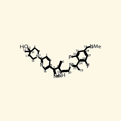 C=c1c(-c2ccc(N3CCC(C)(O)CC3)nc2)n[nH]/c1=C/N=C(\C)c1c(F)cc(CNC)cc1F